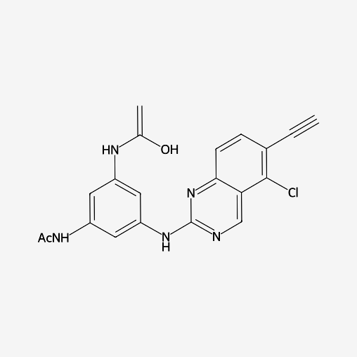 C#Cc1ccc2nc(Nc3cc(NC(=C)O)cc(NC(C)=O)c3)ncc2c1Cl